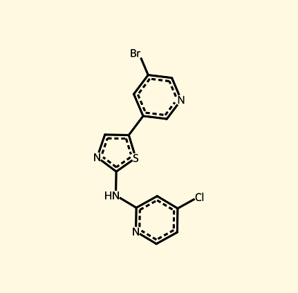 Clc1ccnc(Nc2ncc(-c3cncc(Br)c3)s2)c1